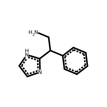 NCC(c1ccccc1)c1ncc[nH]1